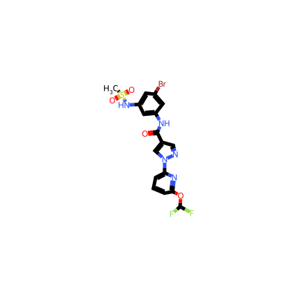 CS(=O)(=O)Nc1cc(Br)cc(NC(=O)c2cnn(-c3cccc(OC(F)F)n3)c2)c1